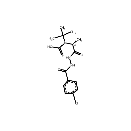 C[C@@H](C(=O)NNC(=O)c1ccc(Cl)cc1)N(C(=O)O)C(C)(C)C